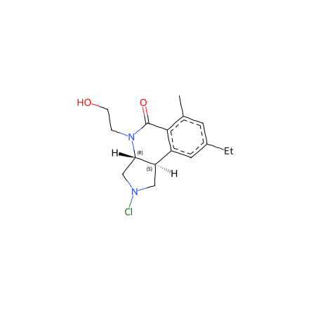 CCc1cc(C)c2c(c1)[C@H]1CN(Cl)C[C@@H]1N(CCO)C2=O